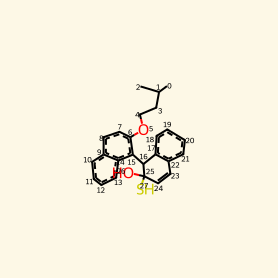 CC(C)CCOc1ccc2ccccc2c1C1c2ccccc2C=CC1(O)S